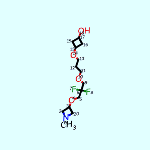 CN1CC(OCC(F)(F)COCCCOC2CC(O)C2)C1